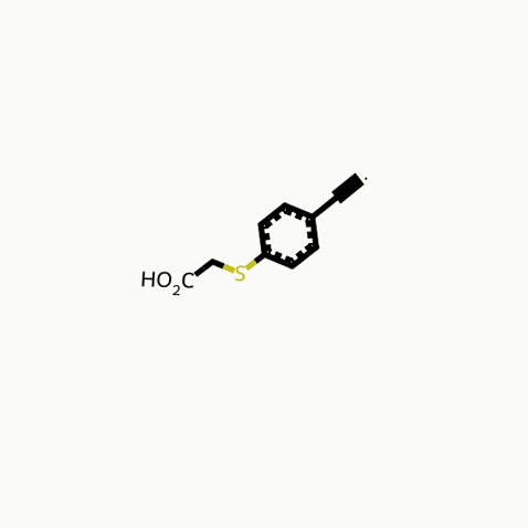 [C]#Cc1ccc(SCC(=O)O)cc1